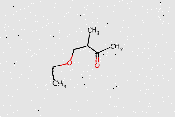 CCOCC(C)C(C)=O